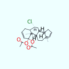 CC(=O)OC1(OC(C)=O)C=CCC2[C@H](Cl)C[C@H]3[C@@H]4CC=C[C@@]4(C)CC[C@@H]3[C@]21C